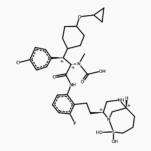 CN(C(=O)O)[C@H](C(=O)Nc1cccc(F)c1CC[C@H]1CN[C@@H]2CCCS(O)(O)N1C2)[C@@H](c1ccc(Cl)cc1)C1CCC(OC2CC2)CC1